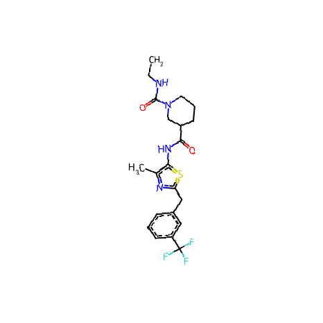 CCNC(=O)N1CCCC(C(=O)Nc2sc(Cc3cccc(C(F)(F)F)c3)nc2C)C1